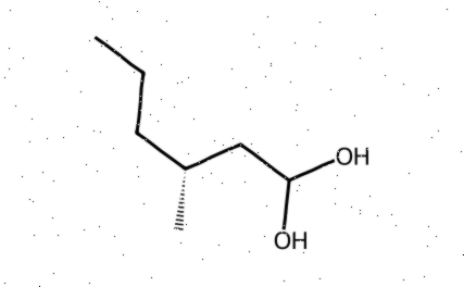 CCC[C@@H](C)CC(O)O